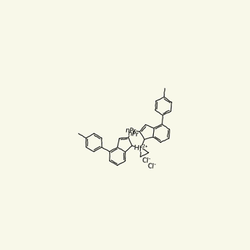 CCCC1=Cc2c(-c3ccc(C)cc3)cccc2[CH]1[Hf+2]1([CH]2C(CCC)=Cc3c(-c4ccc(C)cc4)cccc32)[CH2][CH2]1.[Cl-].[Cl-]